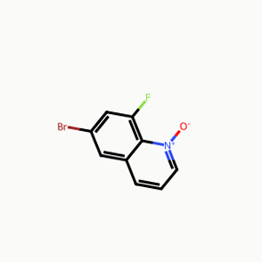 [O-][n+]1cccc2cc(Br)cc(F)c21